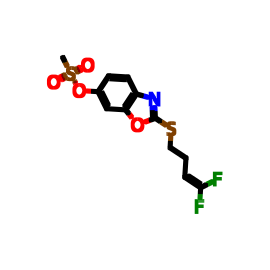 CS(=O)(=O)Oc1ccc2nc(SCCC=C(F)F)oc2c1